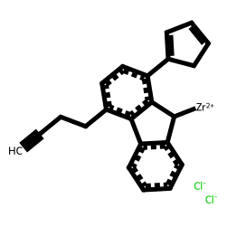 C#CCCc1ccc(C2=CC=CC2)c2c1-c1ccccc1[CH]2[Zr+2].[Cl-].[Cl-]